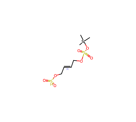 C[Si](C)(C)OS(=O)(=O)OC/C=C/CO[SH](=O)=O